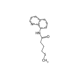 CSCCCC(=O)Nc1cccc2cccnc12